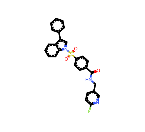 O=C(NCc1ccc(F)nc1)c1ccc(S(=O)(=O)n2cc(-c3ccccc3)c3ccccc32)cc1